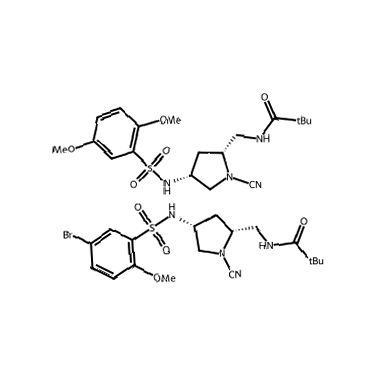 COc1ccc(Br)cc1S(=O)(=O)N[C@@H]1C[C@H](CNC(=O)C(C)(C)C)N(C#N)C1.COc1ccc(OC)c(S(=O)(=O)N[C@@H]2C[C@H](CNC(=O)C(C)(C)C)N(C#N)C2)c1